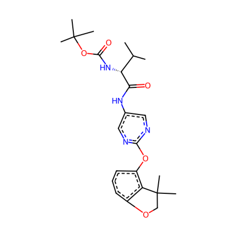 CC(C)[C@@H](NC(=O)OC(C)(C)C)C(=O)Nc1cnc(Oc2cccc3c2C(C)(C)CO3)nc1